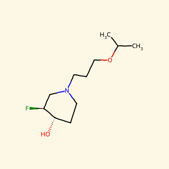 CC(C)OCCCN1CC[C@H](O)[C@@H](F)C1